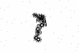 COc1cc(C)c(O[C@H]2CC[C@@](C)(C(=O)OCc3cccc4ccccc34)CC2)cc1C(=O)N[C@H]1[C@@H](C(=O)NCC2(C)CCC2)[C@H]2CC[C@@H]1O2